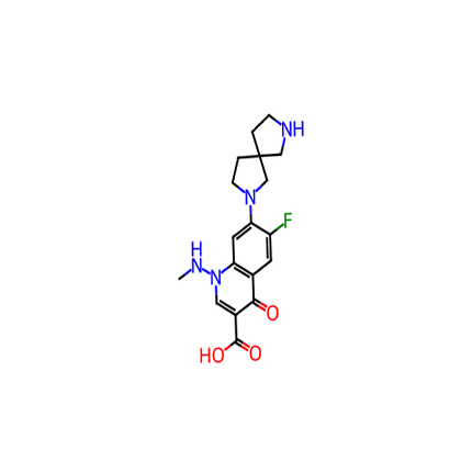 CNn1cc(C(=O)O)c(=O)c2cc(F)c(N3CCC4(CCNC4)C3)cc21